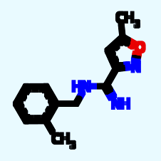 Cc1cc(C(=N)NCc2ccccc2C)no1